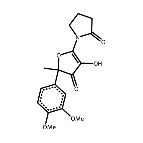 COc1ccc(C2(C)OC(N3CCCC3=O)=C(O)C2=O)cc1OC